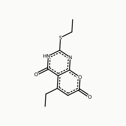 CCSc1nc2oc(=O)cc(CC)c2c(=O)[nH]1